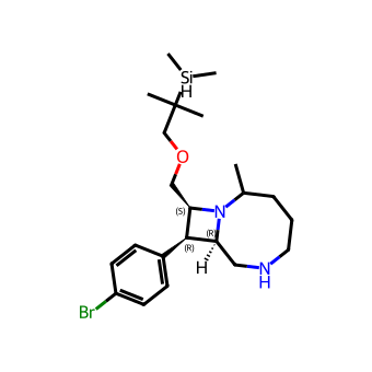 CC1CCCNC[C@H]2[C@@H](c3ccc(Br)cc3)[C@@H](COCC(C)(C)[SiH](C)C)N12